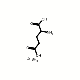 B.NC(CCC(=O)O)C(=O)O.[Zr]